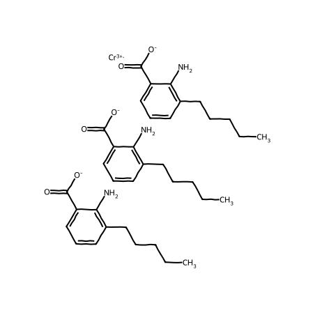 CCCCCc1cccc(C(=O)[O-])c1N.CCCCCc1cccc(C(=O)[O-])c1N.CCCCCc1cccc(C(=O)[O-])c1N.[Cr+3]